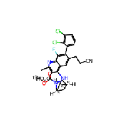 Cc1nc2c(F)c(-c3cccc(Cl)c3Cl)c(CCC#N)cc2c(N[C@H]2[C@@H]3C[C@H]2N(C(=O)OC(C)(C)C)C3)c1C(=O)O